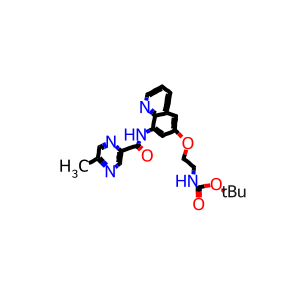 Cc1cnc(C(=O)Nc2cc(OCCNC(=O)OC(C)(C)C)cc3cccnc23)cn1